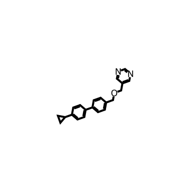 c1ncc(COCc2ccc(-c3ccc(C4CC4)cc3)cc2)cn1